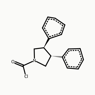 O=C(Cl)N1C[C@@H](c2ccccc2)[C@H](c2ccccc2)C1